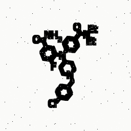 CCN(CC)C(=O)c1ccc(N(c2cc(C(N)=O)ccc2F)C2CCN(Cc3ccc(Cl)cc3)CC2)cc1